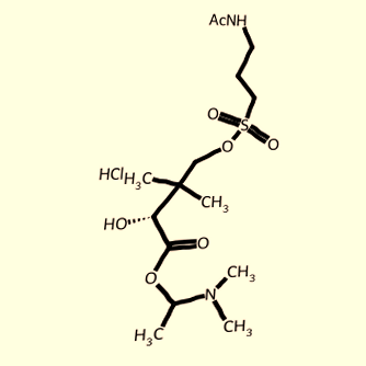 CC(=O)NCCCS(=O)(=O)OCC(C)(C)[C@@H](O)C(=O)OC(C)N(C)C.Cl